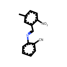 Cc1ccc([N+](=O)[O-])c(C=Nc2ccccc2C#N)c1